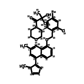 Cc1cc(-c2ncnn2C)c2cccc(OCc3c(Cl)cc(F)cc3[C@@H]3COCCN3C(=O)C(C)(C)O)c2n1